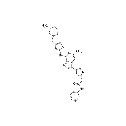 Cc1cn2c(-c3cnn(CC(=O)Nc4cccnc4)c3)cnc2c(Nc2cc(CN3CCCC(C)C3)ns2)n1